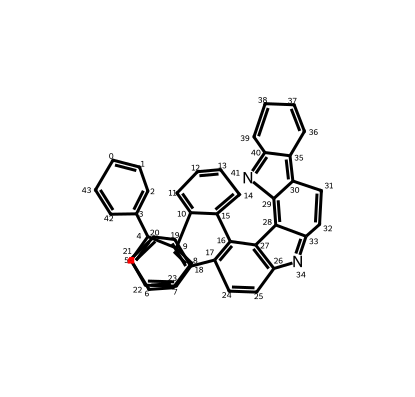 c1ccc(-c2ccccc2-c2ccccc2-c2c(-c3ccccc3)ccc3c2-c2c4c(ccc2=N3)=c2ccccc2=N4)cc1